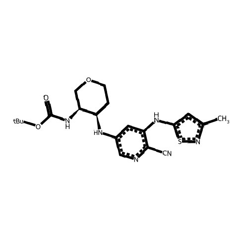 Cc1cc(Nc2cc(N[C@@H]3CCOC[C@@H]3NC(=O)OC(C)(C)C)cnc2C#N)sn1